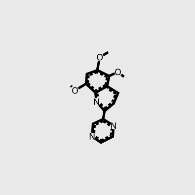 COc1cc(OC)c2nc(-c3cnccn3)ccc2c1OC